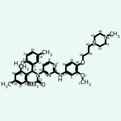 COc1cc(Nc2nccc(N(C(=O)O)C(c3cc(C)ccc3C)c3c(C)cc(C)cc3C)n2)ccc1OCCCN1CCN(C)CC1